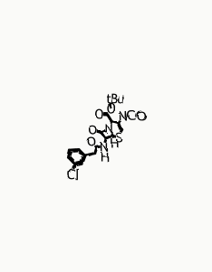 CC(C)(C)OC(=O)C1C(N=C=O)=CS[C@H]2C(NC(=O)Cc3cccc(Cl)c3)C(=O)N12